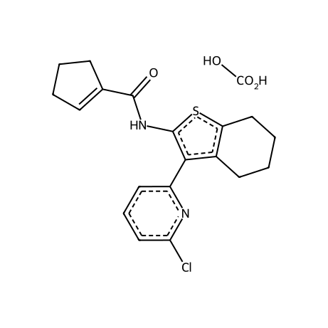 O=C(Nc1sc2c(c1-c1cccc(Cl)n1)CCCC2)C1=CCCC1.O=C(O)O